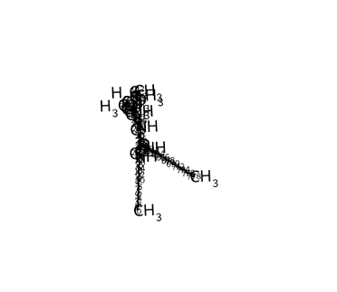 CCCCCCCCCCCCCCCCCCNC(=O)OCC(CSCCC(=O)Nc1ccc(C(=O)NC(CCC(=O)OC(C)(C)C)C(=O)OC(C)(C)C)cc1)OC(=O)NCCCCCCCCCCCCCCCCCC